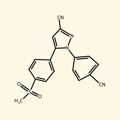 CS(=O)(=O)c1ccc(-c2cc(C#N)nn2-c2ccc(C#N)cc2)cc1